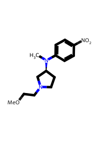 COCCN1CC[C@H](N(C)c2ccc([N+](=O)[O-])cc2)C1